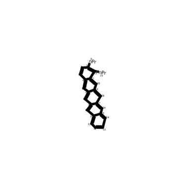 CCCc1ccc2cc3cc4cc5ccccc5cc4cc3cc2c1CCC